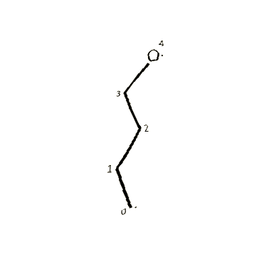 [CH2]CCC[O]